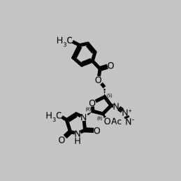 CC(=O)O[C@@H]1C(N=[N+]=[N-])[C@@H](COC(=O)c2ccc(C)cc2)O[C@H]1n1cc(C)c(=O)[nH]c1=O